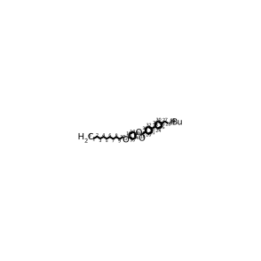 C=CCCCCCCCCCOc1ccc(OC(=O)c2ccc(-c3ccc(CC[C@@H](C)CC)cc3)cc2)cc1